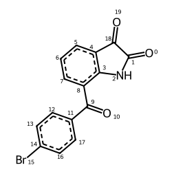 O=C1Nc2c(cccc2C(=O)c2ccc(Br)cc2)C1=O